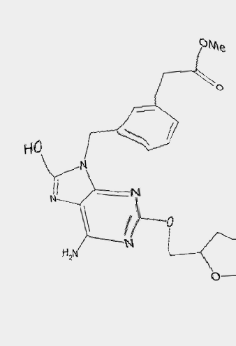 COC(=O)Cc1cccc(Cn2c(O)nc3c(N)nc(OCC4CCCO4)nc32)c1